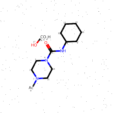 CC(=O)N1CCN(C(=O)NC2CCCCC2)CC1.O=C(O)O